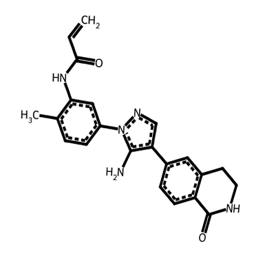 C=CC(=O)Nc1cc(-n2ncc(-c3ccc4c(c3)CCNC4=O)c2N)ccc1C